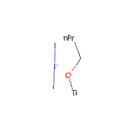 CCCC[O][Ti].I[I-]I